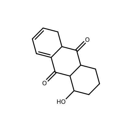 O=C1C2CC=CC=C2C(=O)C2C(O)CCCC12